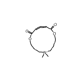 C[N+]1(C)CCCOC(=O)C=C=CC(=O)OCCC1